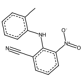 Cc1ccccc1Nc1c(C#N)cccc1[N+](=O)[O-]